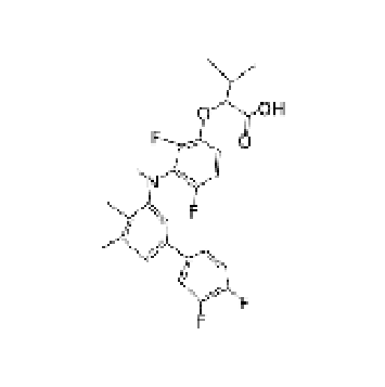 Cc1cc(-c2ccc(F)c(F)c2)cc(N(C)c2c(F)ccc(OC(C(=O)O)C(C)C)c2F)c1C